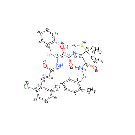 Cc1ccccc1CNC(=O)C1N(C(=O)[C@@H](O)C(Cc2ccccc2)NC(=O)/C=C/c2c(Cl)cccc2Cl)CSC1(C)C